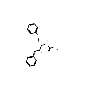 CC(C)(C)OC(=O)N[C@H](CSc1ccccc1)[C@H](Cc1ccccc1)C(=O)O